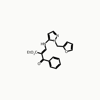 CCOC(=O)C(=CNc1ccnn1Cc1ccco1)C(=O)c1ccccc1